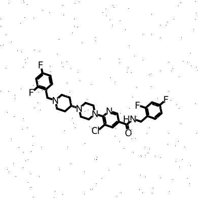 O=C(NCc1ccc(F)cc1F)c1cnc(N2CCN(C3CCN(Cc4ccc(F)cc4F)CC3)CC2)c(Cl)c1